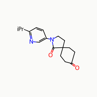 CC(C)c1ccc(N2CCC3(CCC(=O)CC3)C2=O)cn1